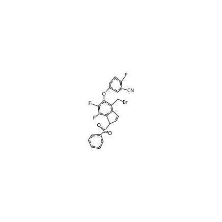 N#Cc1cc(Oc2c(F)c(F)c3c(c2CBr)C=CC3S(=O)(=O)c2ccccc2)ccc1F